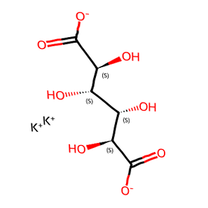 O=C([O-])[C@@H](O)[C@@H](O)[C@H](O)[C@H](O)C(=O)[O-].[K+].[K+]